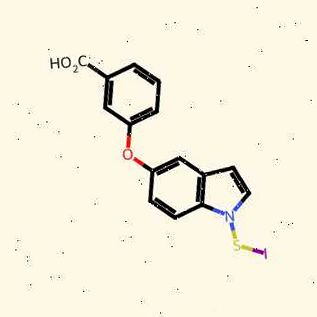 O=C(O)c1cccc(Oc2ccc3c(ccn3SI)c2)c1